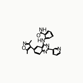 Cc1noc(C)c1-c1ccc2nc(-c3cccnc3)nc(Nc3ccccc3C(N)=O)c2c1